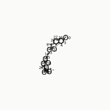 COc1ccc2cc(C(C)C(=O)OCCCOC(=O)OC(C)O[N+](=O)[O-])ccc2c1